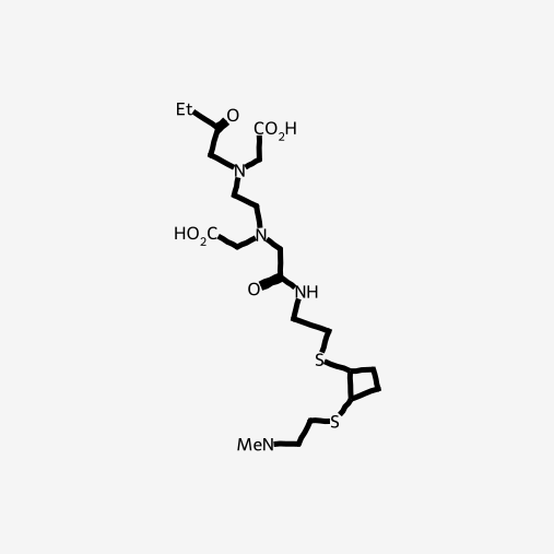 CCC(=O)CN(CCN(CC(=O)O)CC(=O)NCCSC1CCC1SCCNC)CC(=O)O